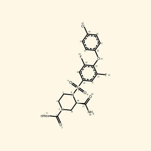 CCCCCCC(=O)N1CCN(S(=O)(=O)c2cc(F)c(Oc3ccc(Cl)cc3)c(F)c2)[C@@H](C(N)=O)C1